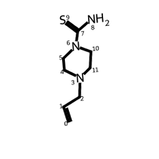 C=CCN1CCN(C(N)=S)CC1